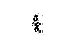 C=CC(=O)N1CCC(N(CC)c2cc(-c3ccnc(NC)c3)c[nH]c2=O)CC1